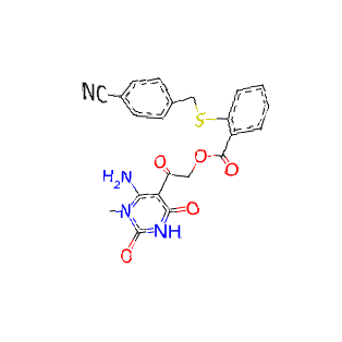 Cn1c(N)c(C(=O)COC(=O)c2ccccc2SCc2ccc(C#N)cc2)c(=O)[nH]c1=O